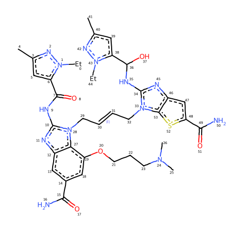 CCn1nc(C)cc1C(=O)Nc1nc2cc(C(N)=O)cc(OCCCN(C)C)c2n1C/C=C/Cn1c(NC(O)c2cc(C)nn2CC)nc2cc(C(N)=O)sc21